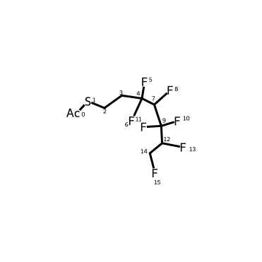 CC(=O)SCCC(F)(F)C(F)C(F)(F)C(F)CF